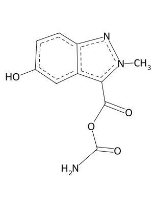 Cn1nc2ccc(O)cc2c1C(=O)OC(N)=O